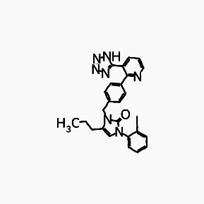 CCCc1cn(-c2ccccc2I)c(=O)n1Cc1ccc(-c2ncccc2-c2nnn[nH]2)cc1